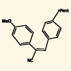 CCCCCc1ccc(C=C(C#N)c2ccc(OC)cc2)cc1